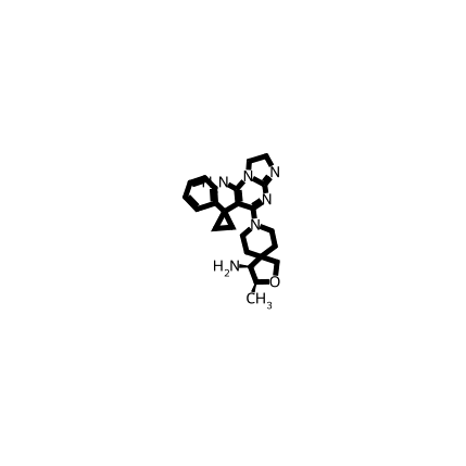 C[C@@H]1OCC2(CCN(C3=NC4=NCCN4C(N)=C3C3(c4ccccc4)CC3)CC2)[C@@H]1N